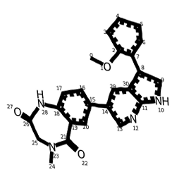 COc1ccccc1-c1c[nH]c2ncc(-c3ccc4c(c3)C(=O)N(C)CC(=O)N4)cc12